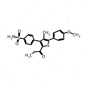 CCC(=O)c1sc(-c2ccc(OC)cc2)c(C)c1-c1ccc(S(N)(=O)=O)cc1